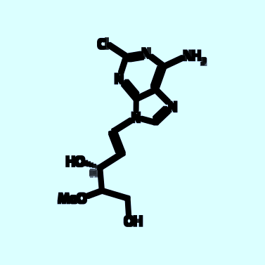 COC(CO)[C@H](O)C=Cn1cnc2c(N)nc(Cl)nc21